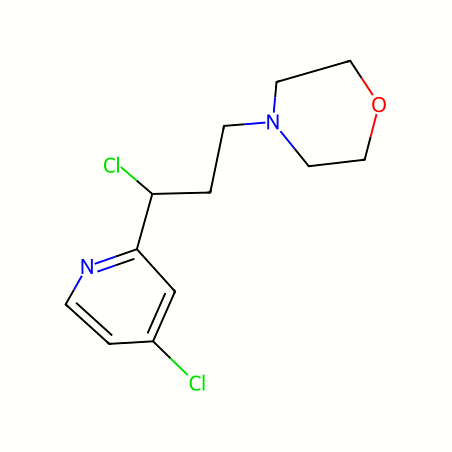 Clc1ccnc(C(Cl)CCN2CCOCC2)c1